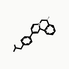 CC(C)Cc1ccc(C2=CC3c4ccccc4[C@@H](C)CN3C=C2)cc1